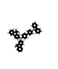 CC1(C)c2ccccc2-c2ccc(N(c3ccc(-c4ccc(-n5c6ccccc6c6ccccc65)cc4)cc3)c3ccc4c(c3)C(C)(C)c3ccccc3-4)cc21